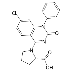 O=C(O)[C@@H]1CCCN1c1nc(=O)n(-c2ccccc2)c2cc(Cl)ccc12